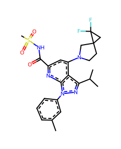 Cc1cccc(-n2nc(C(C)C)c3c(N4CCC5(C4)CC5(F)F)cc(C(=O)NS(C)(=O)=O)nc32)c1